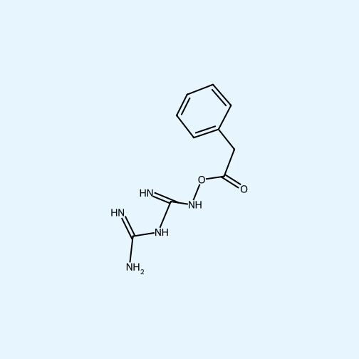 N=C(N)NC(=N)NOC(=O)Cc1ccccc1